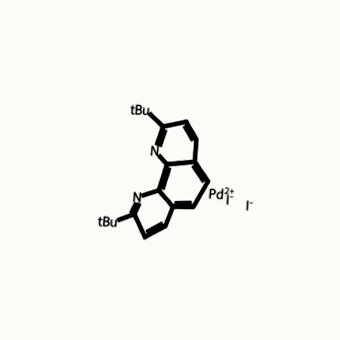 CC(C)(C)c1ccc2ccc3ccc(C(C)(C)C)nc3c2n1.[I-].[I-].[Pd+2]